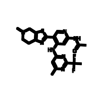 CC(=O)Nc1cc(Nc2cc(C)nc(C(C)(F)F)n2)c(-c2nc3c(s2)CN(C)CC3)cn1